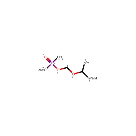 CCCCCC(CCC)OCOP(C)(=O)OC